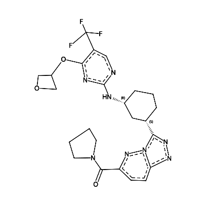 O=C(c1ccc2nnc([C@H]3CCC[C@@H](Nc4ncc(C(F)(F)F)c(OC5COC5)n4)C3)n2n1)N1CCCC1